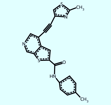 Cc1ccc(NC(=O)c2cc3c(C#Cc4csc(C)n4)cncc3s2)cc1